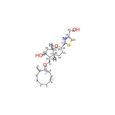 C=C1CCCC/C=C\C=C/1OC[C@@H]1[C@H]2CC[C@H](c3nc(CO)cs3)O[C@H]2C[C@H]1O